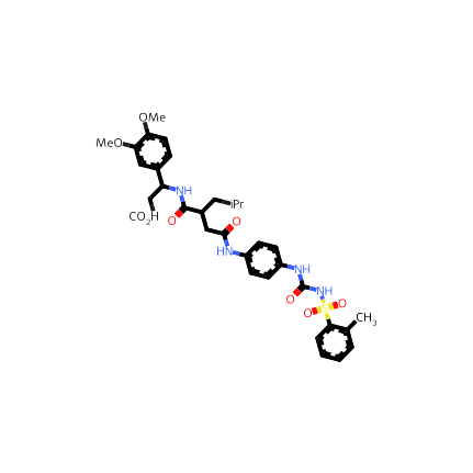 COc1ccc(C(CC(=O)O)NC(=O)C(CC(=O)Nc2ccc(NC(=O)NS(=O)(=O)c3ccccc3C)cc2)CC(C)C)cc1OC